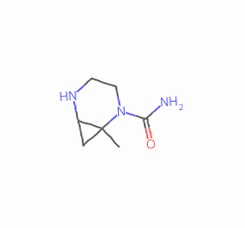 CC12CC1NCCN2C(N)=O